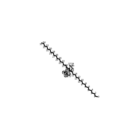 CCCCCCCCCCCCCCCCCCC(CCCCCCCCCCCCCCCCC)[N+](C)(C)C.O=S(=O)(O)O